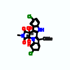 COc1c2n(c3cc(Cl)ccc13)[C@]1(O)C(=O)N(C)C(=O)[C@]1(O)c1c-2[nH]c2ccc(Cl)cc12